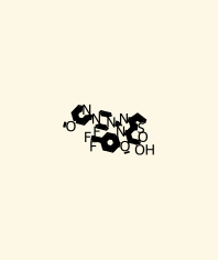 COc1ccnc(N2CCN(C3=Nc4ccsc4C(CC(=O)O)N3c3cc(C(F)(F)F)ccc3OC)CC2)c1